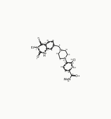 CCn1c(=O)[nH]c2cc(CN3CCN(c4ccc(C(=O)NC)nc4Cl)CC3)ccc2c1=S